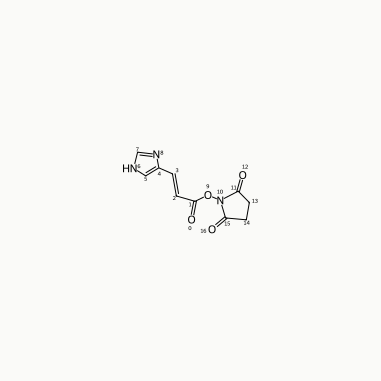 O=C(/C=C/c1c[nH]cn1)ON1C(=O)CCC1=O